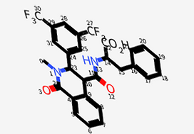 CN1C(=O)c2ccccc2C(C(=O)NC(Cc2ccccc2)C(=O)O)C1c1cc(C(F)(F)F)cc(C(F)(F)F)c1